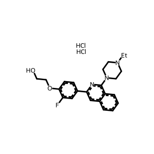 CCN1CCN(c2nc(-c3ccc(OCCO)c(F)c3)cc3ccccc23)CC1.Cl.Cl